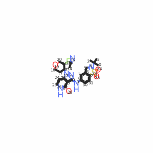 CC(C)(C)N1Cc2cc(Nc3nn([C@@]4(CC#N)CCOC[C@H]4F)c4cc[nH]c(=O)c34)ccc2S1(=O)=O